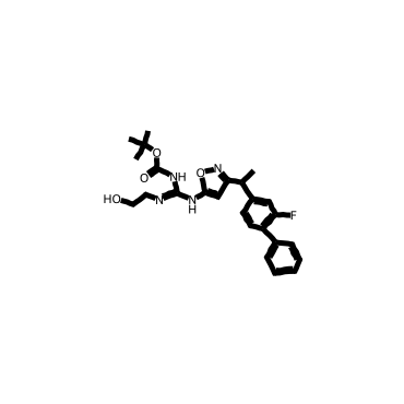 CC(c1ccc(-c2ccccc2)c(F)c1)c1cc(N/C(=N/CCO)NC(=O)OC(C)(C)C)on1